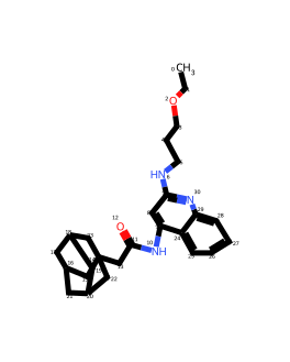 CCOCCCNc1cc(NC(=O)CC23CC4CC(CC(C4)C2)C3)c2ccccc2n1